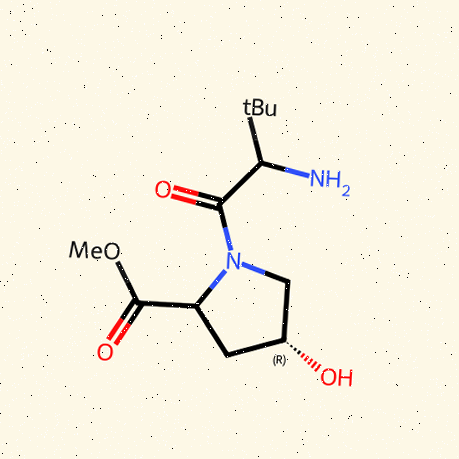 COC(=O)C1C[C@@H](O)CN1C(=O)C(N)C(C)(C)C